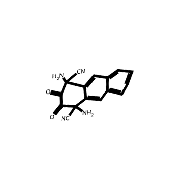 N#CC1(N)C(=O)C(=O)C(N)(C#N)c2cc3ccccc3cc21